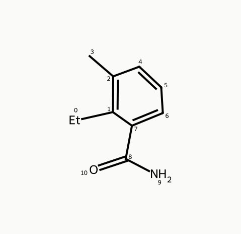 CCc1c(C)cccc1C(N)=O